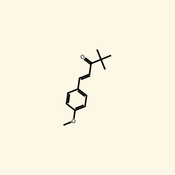 COc1ccc(C=CC(=O)C(C)(C)C)cc1